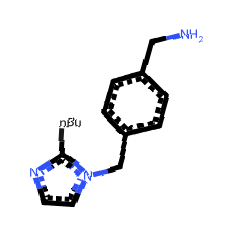 CCCCc1nccn1Cc1ccc(CN)cc1